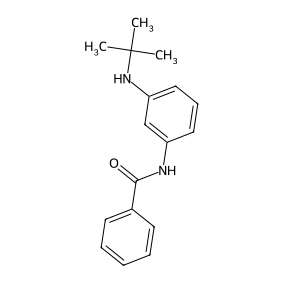 CC(C)(C)Nc1cccc(NC(=O)c2ccccc2)c1